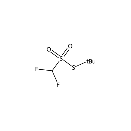 CC(C)(C)SS(=O)(=O)C(F)F